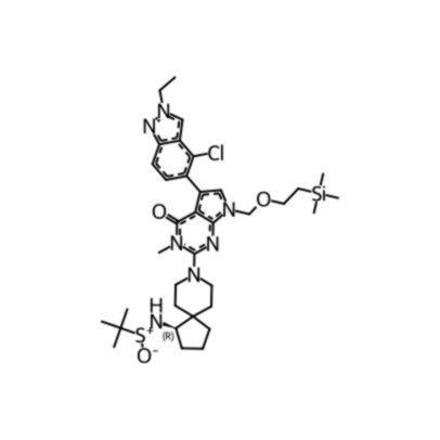 CCn1cc2c(Cl)c(-c3cn(COCC[Si](C)(C)C)c4nc(N5CCC6(CCC[C@H]6N[S+]([O-])C(C)(C)C)CC5)n(C)c(=O)c34)ccc2n1